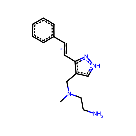 CN(CCN)Cc1c[nH]nc1/C=C/c1ccccc1